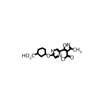 Cc1noc(-c2cnc(OC3CCCC(C(=O)O)C3)cn2)c1C(=O)Cl